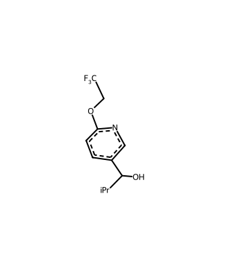 CC(C)C(O)c1ccc(OCC(F)(F)F)nc1